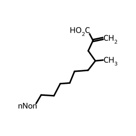 C=C(CC(C)CCCCCCCCCCCCCCC)C(=O)O